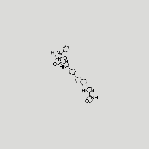 N[C@@H](C(=O)N1CCOC[C@H]1c1ncc(-c2ccc(-c3ccc4cc(-c5cnc([C@@H]6COCCN6)[nH]5)ccc4c3)cc2)[nH]1)c1ccccc1